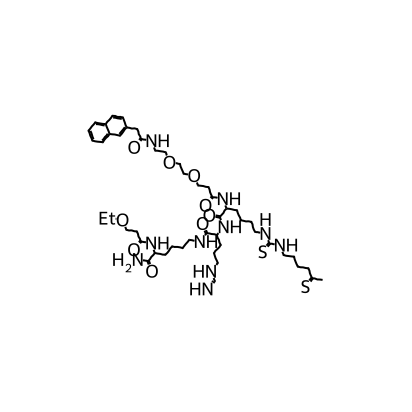 CCOCCC(=O)NC(CCCCNC(=O)C(CCCNC=N)NC(=O)C(CCCCNC(=S)NCCCCC(C)=S)NC(=O)CCOCCOCCNC(=O)Cc1ccc2ccccc2c1)C(N)=O